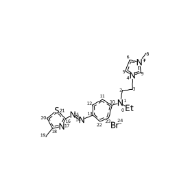 CCN(CCn1cc[n+](C)c1)c1ccc(N=Nc2nc(C)cs2)cc1.[Br-]